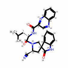 CC(C)C[C@H](NC(=O)c1cnc2ccccc2n1)C(=O)N1C[C@]2(C[C@H]1C#N)C(=O)Nc1ccccc12